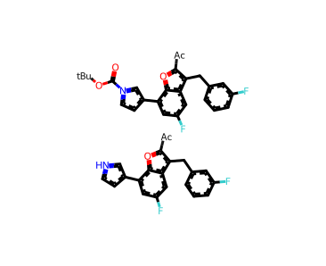 CC(=O)c1oc2c(-c3cc[nH]c3)cc(F)cc2c1Cc1cccc(F)c1.CC(=O)c1oc2c(-c3ccn(C(=O)OC(C)(C)C)c3)cc(F)cc2c1Cc1cccc(F)c1